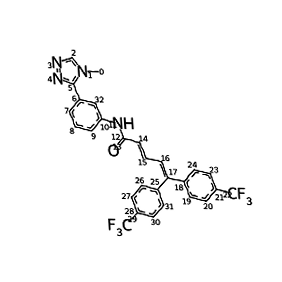 Cn1cnnc1-c1cccc(NC(=O)C=CC=C(c2ccc(C(F)(F)F)cc2)c2ccc(C(F)(F)F)cc2)c1